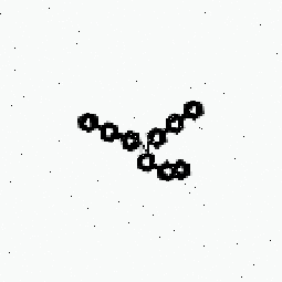 c1ccc(-c2ccc(-c3ccc(N(c4ccc(-c5ccc(-c6ccccc6)cc5)cc4)c4cccc(-c5ccc6ccccc6c5)c4)cc3)cc2)cc1